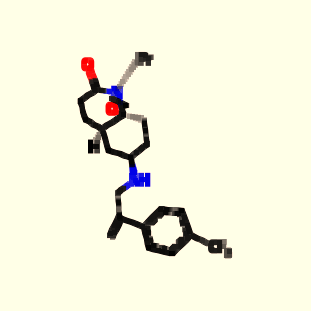 C=C(CN[C@@H]1CC[C@]23OC[C@H](C(C)C)N2C(=O)CC[C@@H]3C1)c1ccc(C(F)(F)F)cc1